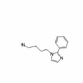 [N]CCCCn1ccnc1-c1ccccc1